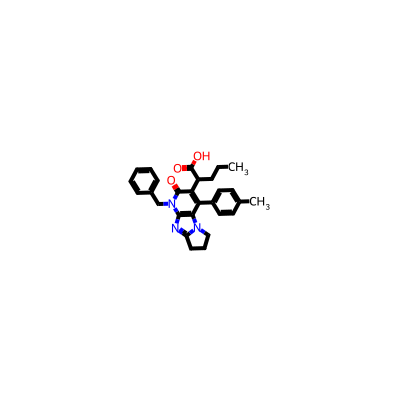 CCCC(C(=O)O)c1c(-c2ccc(C)cc2)c2c(nc3n2CCC3)n(Cc2ccccc2)c1=O